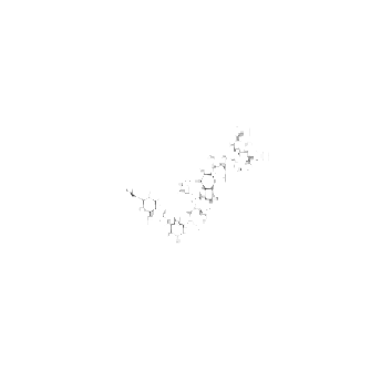 N#Cc1ccc(COc2cccc(C3CCN(Cc4nc5cc(C(=O)NCC(=O)N6C[C@@H](O)C[C@H]6C(=O)O)ccc5n4C[C@@H]4CCO4)CC3)n2)c(F)c1